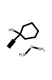 C#CC1(O)CCCCC1.[SiH3]O[SiH3]